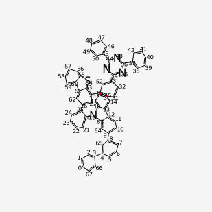 c1ccc(-c2cccc(-c3ccc4c5ccccc5n(-c5ccccc5-c5cc(-c6cccc(-c7nc(-c8ccccc8)nc(-c8ccccc8)n7)c6)c6sc7ccccc7c6c5)c4c3)c2)cc1